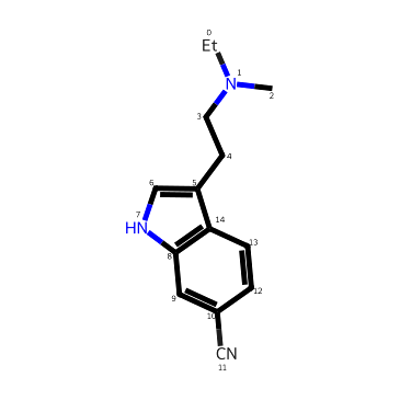 CCN(C)CCc1c[nH]c2cc(C#N)ccc12